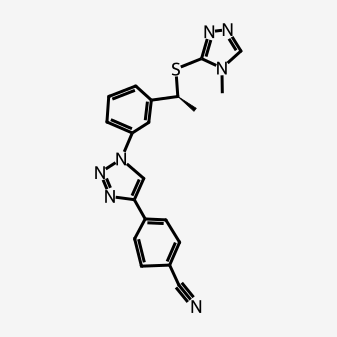 C[C@H](Sc1nncn1C)c1cccc(-n2cc(-c3ccc(C#N)cc3)nn2)c1